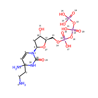 NCCC1(N)C=CN([C@H]2C[C@H](O)[C@@H](COP(=O)(O)OP(=O)(O)OP(=O)(O)O)O2)C(=O)N1